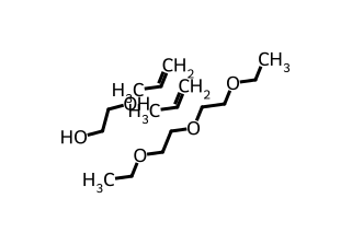 C=CC.C=CC.CCOCCOCCOCC.OCCO